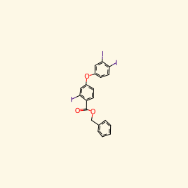 O=C(OCc1ccccc1)c1ccc(Oc2ccc(I)c(I)c2)cc1I